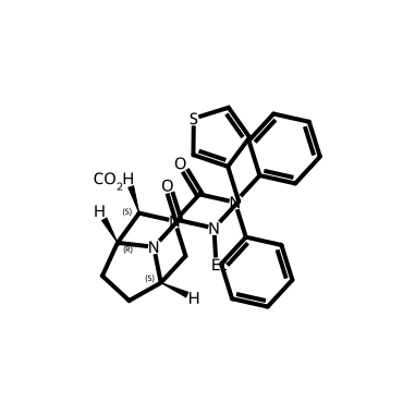 CCN(Cc1ccsc1)C(=O)N1[C@H]2CC[C@@H]1[C@@H](C(=O)O)N(C(=O)N(c1ccccc1)c1ccccc1)C2